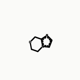 c1cn2c(n1)COCC2